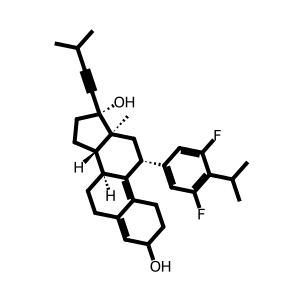 CC(C)C#C[C@]1(O)CC[C@H]2[C@@H]3CCC4=CC(O)CCC4=C3[C@@H](c3cc(F)c(C(C)C)c(F)c3)C[C@@]21C